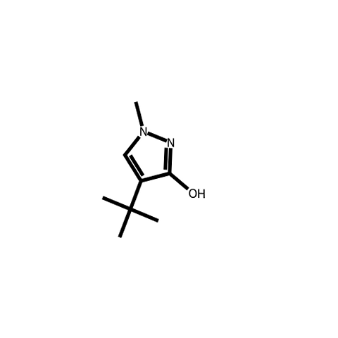 Cn1cc(C(C)(C)C)c(O)n1